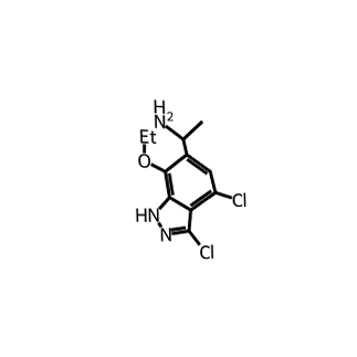 CCOc1c(C(C)N)cc(Cl)c2c(Cl)n[nH]c12